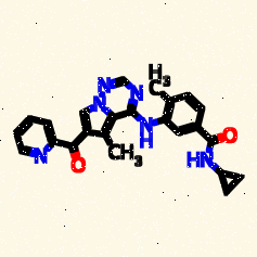 Cc1ccc(C(=O)NC2CC2)cc1Nc1ncnn2cc(C(=O)c3ccccn3)c(C)c12